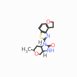 C[C@H]1C[C@@H]2[C@H](CO1)NC(=O)N2c1nc2c3c(ccc2s1)OCC3